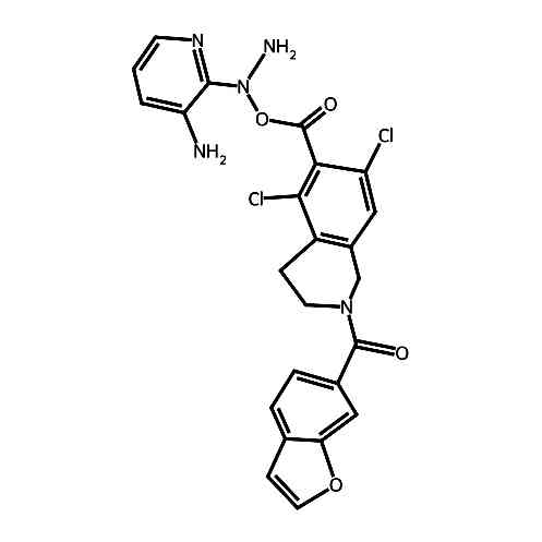 Nc1cccnc1N(N)OC(=O)c1c(Cl)cc2c(c1Cl)CCN(C(=O)c1ccc3ccoc3c1)C2